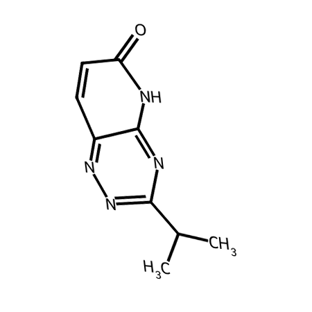 CC(C)c1nnc2ccc(=O)[nH]c2n1